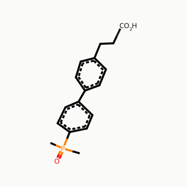 CP(C)(=O)c1ccc(-c2ccc(CCC(=O)O)cc2)cc1